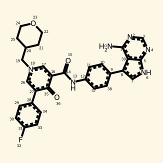 Nc1ncnc2[nH]cc(-c3ccc(NC(=O)c4cn(CC5CCOCC5)cc(-c5ccc(F)cc5)c4=O)cc3)c12